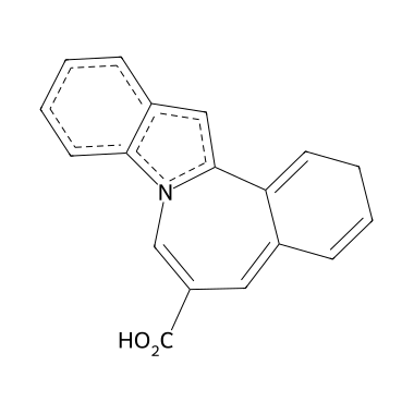 O=C(O)C1=Cn2c(cc3ccccc32)C2=CCC=CC2=C1